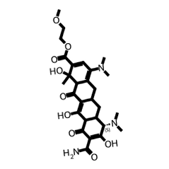 COCCOC(=O)C1=CC(N(C)C)=C2CC3CC4C(C(=O)C(C(N)=O)=C(O)[C@H]4N(C)C)C(O)=C3C(=O)C2C1(C)O